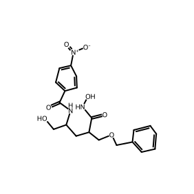 O=C(NC(CO)CC(COCc1ccccc1)C(=O)NO)c1ccc([N+](=O)[O-])cc1